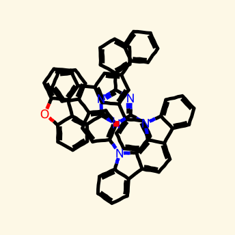 c1ccc(-c2ccc(-n3c4ccccc4c4ccc5c6ccccc6n(-c6nc(-c7ccccc7)nc(-c7cccc8oc9cccc(-c%10cc(-c%11ccccc%11)cc(-c%11ccccc%11)c%10)c9c78)n6)c5c43)cc2)cc1